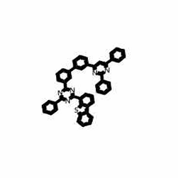 c1ccc(-c2cc(-c3cccc(-c4cccc(-c5nc(-c6ccccc6)nc(-c6cccc7c6sc6ccccc67)n5)c4)c3)nc(-c3ccccc3)n2)cc1